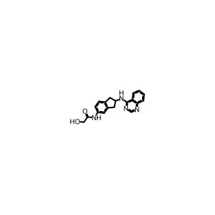 O=C(CO)Nc1ccc2c(c1)CC(Nc1ncnc3ccccc13)C2